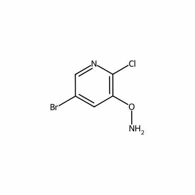 NOc1cc(Br)cnc1Cl